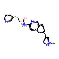 Cn1cc(-c2ccc3cnc(NC(=O)CCc4cccnc4)cc3c2)cn1